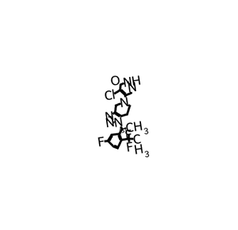 C[C@@H](c1cc(F)ccc1C(C)(F)F)n1nnc2c1CCN(c1cn[nH]c(=O)c1Cl)C2